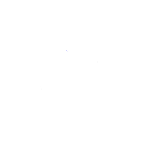 CC(C)c1ccc2ncc(C(C)C)cc2c1